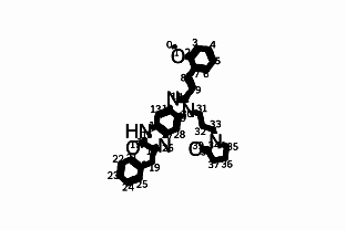 COc1ccccc1/C=C/c1nc2cc3[nH]c(=O)c(Cc4ccccc4)nc3cc2n1CCCN1CCCC1=O